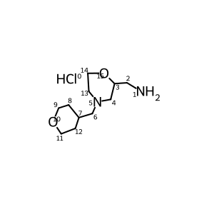 Cl.NCC1CN(CC2CCOCC2)CCO1